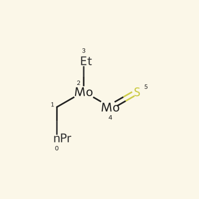 CCC[CH2][Mo]([CH2]C)[Mo]=[S]